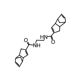 O=C(NCCNC(=O)C1=CC2C3C=CC(C3)C2C1)C1=CC2C3C=CC(C3)C2C1